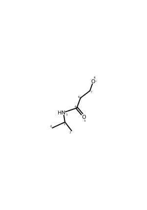 CC(C)NC(=O)CC[O]